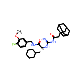 COc1cc(CNC(=O)[C@@H](CC2CCCCC2)NC(=N)NC(=O)CC23CC4CC(CC(C4)C2)C3)ccc1F